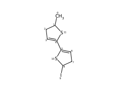 CC1CC=C(C2=CCC(I)S2)S1